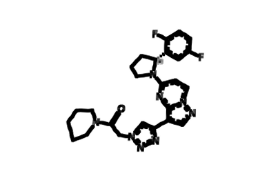 O=C(Cn1cc(-c2cnn3ccc(N4CCC[C@@H]4c4cc(F)ccc4F)nc23)nn1)N1CCCCC1